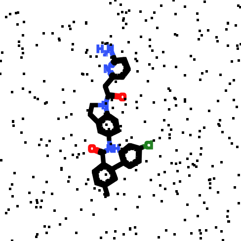 Cc1ccc(C(=O)Nc2ccc3c(c2)CCN3C(=O)Cc2cccc(N)n2)c(-c2ccc(Cl)cc2)c1